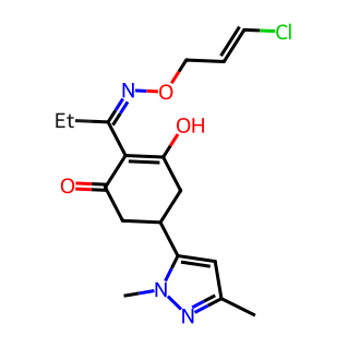 CC/C(=N/OC/C=C/Cl)C1=C(O)CC(c2cc(C)nn2C)CC1=O